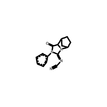 N#C/N=C1\N(c2ccccc2)C(=O)C2C3CCC(C3)N12